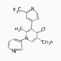 Cc1c(-c2ccnc(C(F)(F)F)c2)c(=O)c(C(=O)O)cn1-c1cccnc1